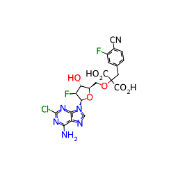 N#Cc1ccc(CC(OC[C@H]2O[C@@H](n3cnc4c(N)nc(Cl)nc43)[C@@H](F)[C@@H]2O)(C(=O)O)C(=O)O)cc1F